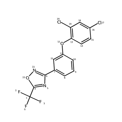 FC(F)(F)c1nc(-c2cc[c]c(Oc3ccc(Cl)cc3Cl)c2)no1